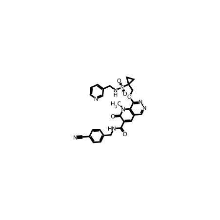 Cn1c(=O)c(C(=O)NCc2ccc(C#N)cc2)cc2cnnc(OCC3(S(=O)(=O)NCc4cccnc4)CC3)c21